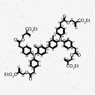 C=C(COC(=O)Cc1ccc(N(c2ccc(CC(=O)OCC(=C)C(=O)OCC)cc2)c2ccc(-c3ccc(N(c4ccc(CC(=O)OCC(=C)C(=O)OCC)cc4)c4ccc(CC(=O)OCC(=C)C(=O)OCC)cc4)c(C)c3)cc2C)cc1)C(=O)OCC